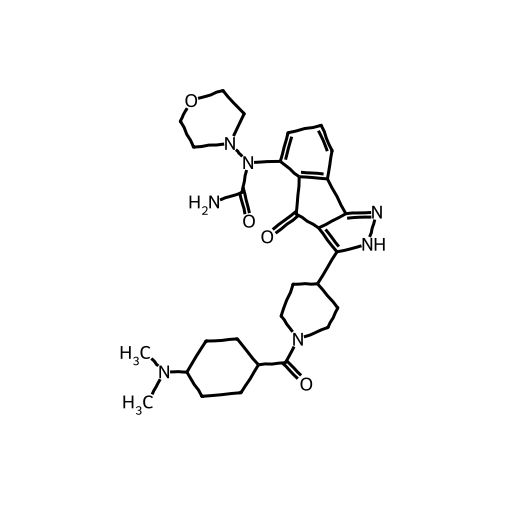 CN(C)C1CCC(C(=O)N2CCC(c3[nH]nc4c3C(=O)c3c-4cccc3N(C(N)=O)N3CCOCC3)CC2)CC1